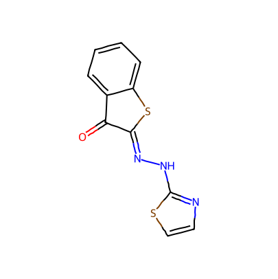 O=C1C(=NNc2nccs2)Sc2ccccc21